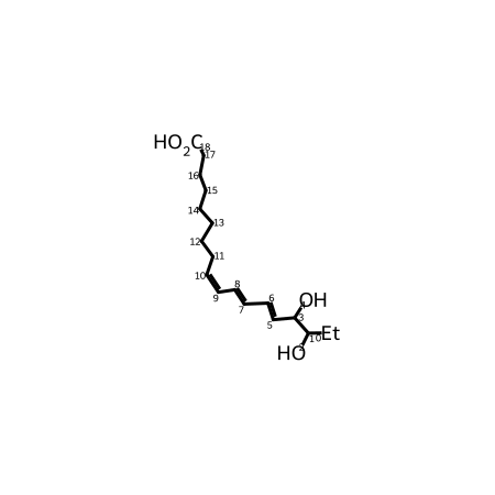 CCC(O)C(O)/C=C/C=C/C=C\CCCCCCCC(=O)O